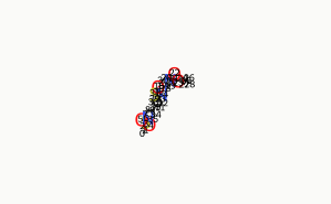 CCCS(=O)(=O)N1CC=C(c2ccc3nc(OC4CCN(C(=O)OCC(C)(C)C)CC4)sc3c2)CC1